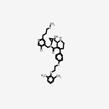 COCCCc1cc(CN(C(=O)C2=C(c3ccc(OCCOc4c(C)cccc4C)cc3)CCNC2CO)C2CC2)c(Cl)cn1